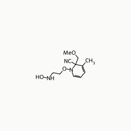 COCC1(C#N)C(C)=CC=CN1OCCNO